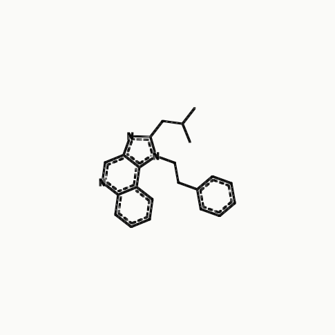 CC(C)Cc1nc2cnc3ccccc3c2n1CCc1ccccc1